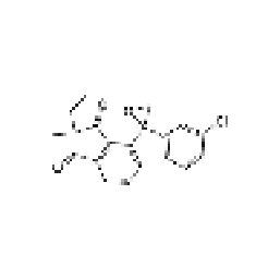 CCC1(C)C(=O)c2cccc(C3(c4cccc(Cl)c4)CO3)c2C1=O